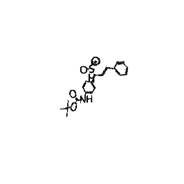 CC(C)(C)OC(=O)Nc1ccc(C(C=Cc2ccccc2)[SH](=O)=O)cc1